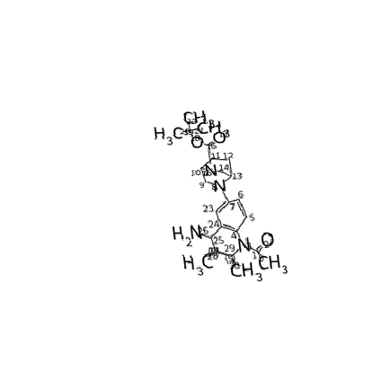 CC(=O)N1c2ccc(N3CC4CCC3CN4C(=O)OC(C)(C)C)cc2C(N)[C@@H](C)[C@@H]1C